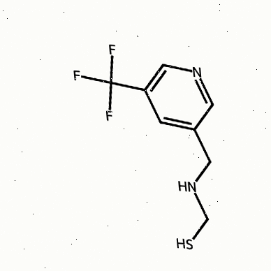 FC(F)(F)c1cncc(CNCS)c1